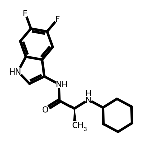 C[C@H](NC1CCCCC1)C(=O)Nc1c[nH]c2cc(F)c(F)cc12